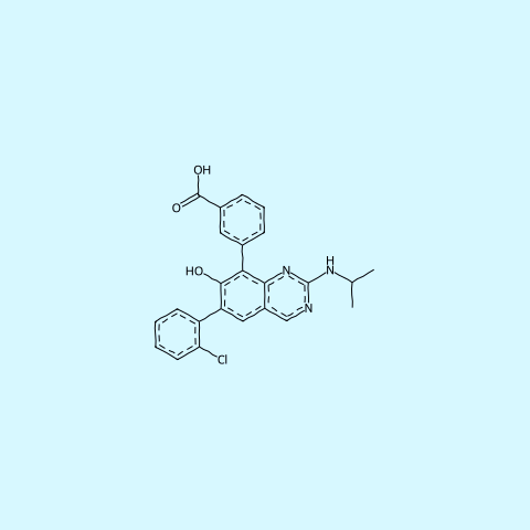 CC(C)Nc1ncc2cc(-c3ccccc3Cl)c(O)c(-c3cccc(C(=O)O)c3)c2n1